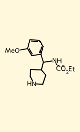 CCOC(=O)NC(c1cccc(OC)c1)C1CCNCC1